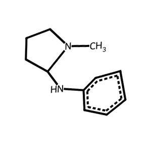 CN1CCCC1Nc1ccccc1